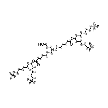 O=C(CCCCCCN(CCCO)CCCCCCC(=O)OC(CCCCCCCC(F)(F)F)CCCCCC(F)(F)F)OC(CCCCCCCC(F)(F)F)CCCCCC(F)(F)F